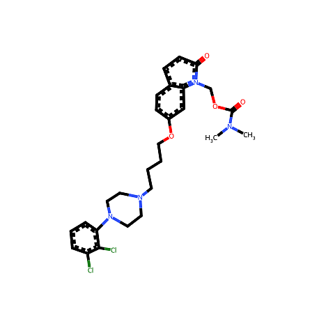 CN(C)C(=O)OCn1c(=O)ccc2ccc(OCCCCN3CCN(c4cccc(Cl)c4Cl)CC3)cc21